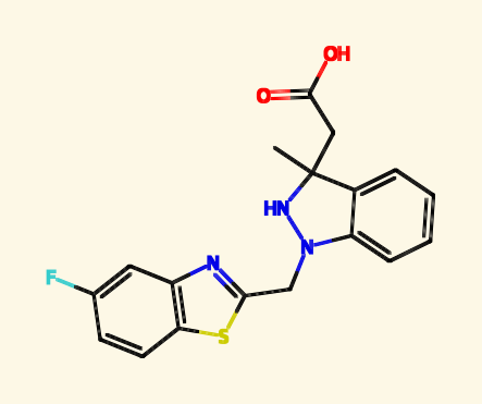 CC1(CC(=O)O)NN(Cc2nc3cc(F)ccc3s2)c2ccccc21